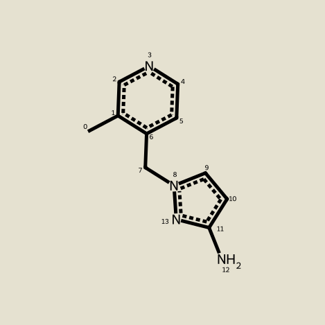 Cc1cnccc1Cn1ccc(N)n1